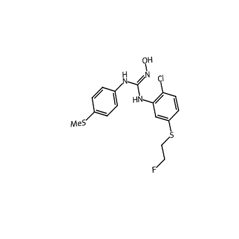 CSc1ccc(N/C(=N\O)Nc2cc(SCCF)ccc2Cl)cc1